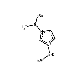 CCCC[BH2-][n+]1ccn(B(C)CCCC)c1